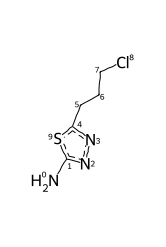 Nc1nnc(CCCCl)s1